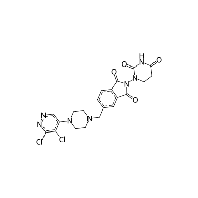 O=C1CCN(N2C(=O)c3ccc(CN4CCN(c5cnnc(Cl)c5Cl)CC4)cc3C2=O)C(=O)N1